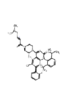 CC(C)c1ncnc(C(C)C)c1-n1c(=O)nc(N2CCN(C(=O)/C=C/CN(C)C)CC2C)c2cc(Cl)c(-c3ccccc3F)nc21